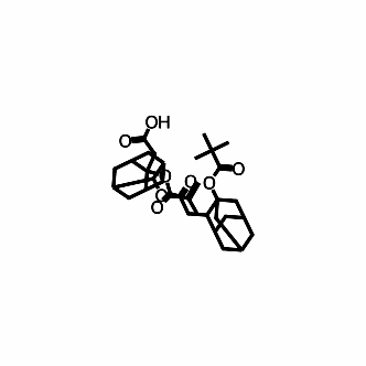 C=C(C)C(=O)OC1(CC(=O)O)C2CC3CC1CC(C2)C3OC(=O)CC1C2CC3CC(C2)CC1(OC(=O)C(C)(C)C)C3